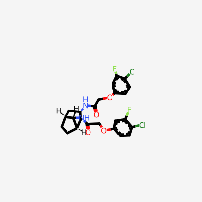 O=C(COc1ccc(Cl)c(F)c1)N[C@H]1C[C@H]2CC[C@@H](C1)[C@@H]2NC(=O)COc1ccc(Cl)c(F)c1